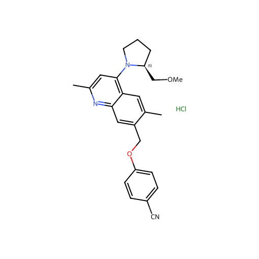 COC[C@@H]1CCCN1c1cc(C)nc2cc(COc3ccc(C#N)cc3)c(C)cc12.Cl